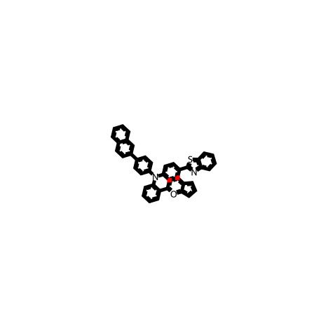 c1cc2ccc(-c3ccccc3N(c3ccc(-c4ccc5ccccc5c4)cc3)c3ccc(-c4nc5ccccc5s4)cc3)oc-2c1